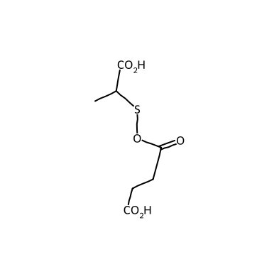 CC(SOC(=O)CCC(=O)O)C(=O)O